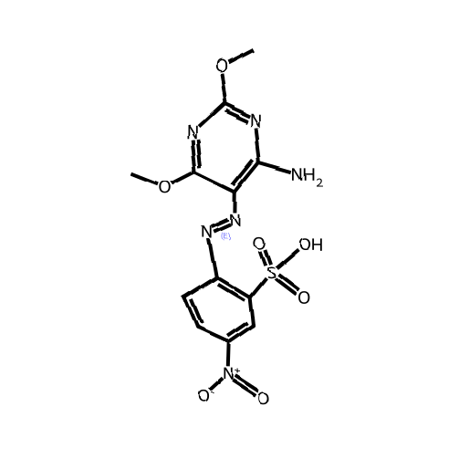 COc1nc(N)c(/N=N/c2ccc([N+](=O)[O-])cc2S(=O)(=O)O)c(OC)n1